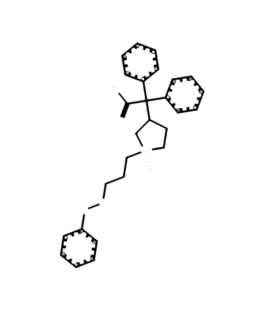 C[N@@+]1(CCCSSc2ccccc2)CCC(C(C(N)=O)(c2ccccc2)c2ccccc2)C1